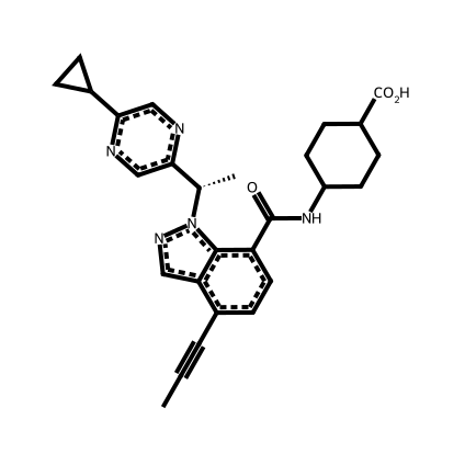 CC#Cc1ccc(C(=O)NC2CCC(C(=O)O)CC2)c2c1cnn2[C@@H](C)c1cnc(C2CC2)cn1